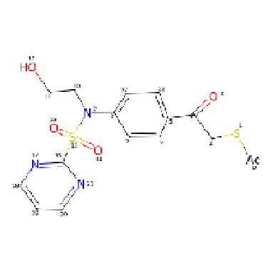 CC(=O)SCC(=O)c1ccc(N(CCO)S(=O)(=O)c2ncccn2)cc1